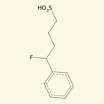 O=S(=O)(O)CCCC(F)c1ccccc1